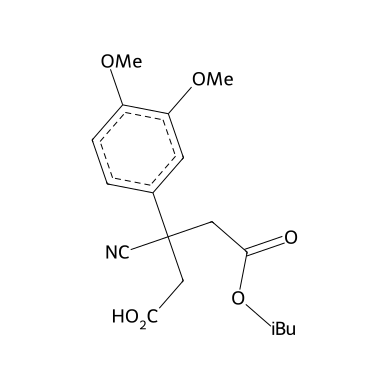 CCC(C)OC(=O)CC(C#N)(CC(=O)O)c1ccc(OC)c(OC)c1